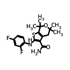 CC1(C)Cc2c(sc(Nc3ccc(F)cc3F)c2C(N)=O)C(C)(C)O1